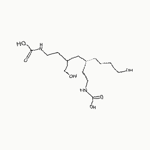 O=C(O)NCCC(CO)CC(CCCCO)CCNC(=O)O